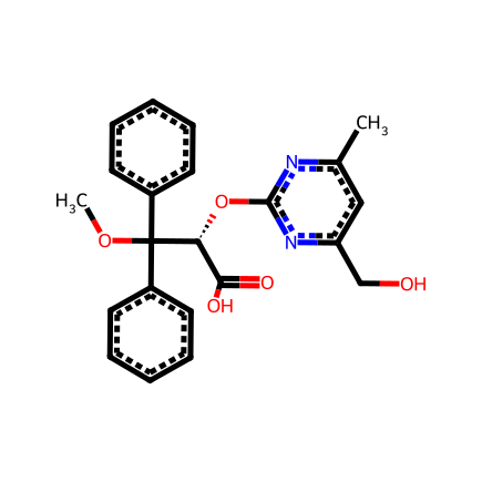 COC(c1ccccc1)(c1ccccc1)[C@H](Oc1nc(C)cc(CO)n1)C(=O)O